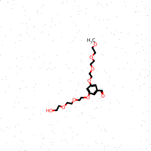 COCCOCCOCCOc1cc(C=O)cc(OCCOCCOCCO)c1